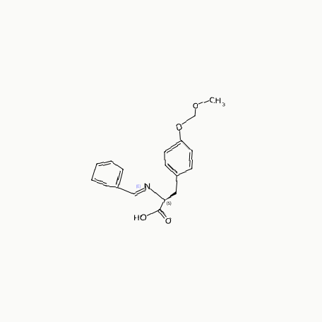 COCOc1ccc(C[C@H](/N=C/c2ccccc2)C(=O)O)cc1